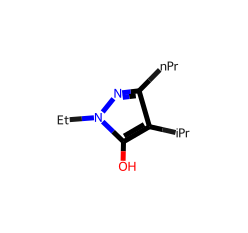 CCCc1nn(CC)c(O)c1C(C)C